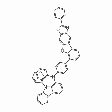 c1ccc(-c2nc3cc4c(cc3o2)oc2c(-c3ccc(N(c5ccccc5)c5cccc6c7ccccc7n(-c7ccccc7)c56)cc3)cccc24)cc1